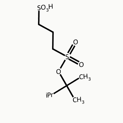 CC(C)C(C)(C)OS(=O)(=O)CCCS(=O)(=O)O